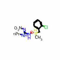 CCCNC(=N[N+](=O)[O-])NO[SH](C)Cc1ccccc1Cl